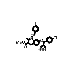 COC(=O)C(Cc1ccc(OC(c2ccc(Cl)cc2)c2cn[nH]c2)cc1)C(C)=NOCc1ccc(F)cc1